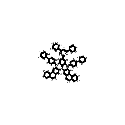 c1ccc(-c2ccc(N3c4cc5c(ccc6ccccc65)cc4B4c5cc6ccc7ccccc7c6cc5N(c5ccc(-c6ccccc6)cc5)c5cc(-c6nc(-c7ccccc7)cc(-c7ccccc7)n6)cc3c54)cc2)cc1